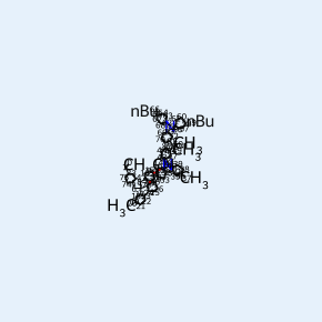 C=Cc1ccc(CC2(Cc3ccc(C=C)cc3)c3cc(C)ccc3-c3ccc(-c4ccc5c(c4)c4cc(C)ccc4n5-c4ccc5c(c4)C(C)(C)c4cc(N(c6ccc(CCCC)cc6)c6ccc(CCCC)cc6)ccc4-5)cc32)cc1